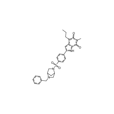 CCCn1c(=O)n(C)c(=O)c2[nH]c(-c3ccc(S(=O)(=O)N4CC5CC4CN5Cc4ccccc4)cc3)cc21